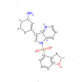 NC1C=C(c2cn(S(=O)(=O)c3cccc4c3CCO4)c3cccnc23)CCC1